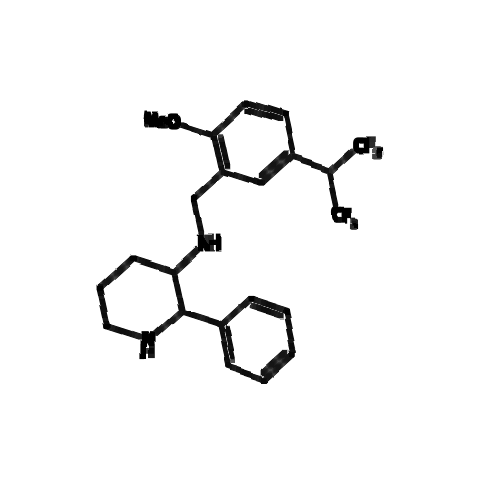 COc1ccc(C(C(F)(F)F)C(F)(F)F)cc1CNC1CCCNC1c1ccccc1